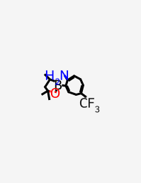 CC1CB(C2=C/C/C(CC(F)(F)F)=C\C/C=C\2N)OC(C)(C)C1